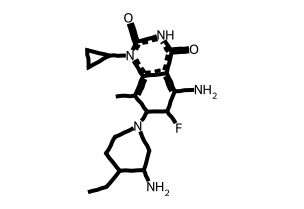 CCC1CCN(C2C(C)=c3c(c(=O)[nH]c(=O)n3C3CC3)=C(N)C2F)CC1N